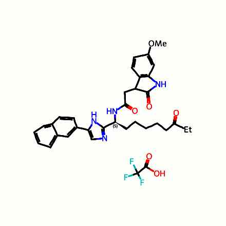 CCC(=O)CCCCC[C@H](NC(=O)CC1C(=O)Nc2cc(OC)ccc21)c1ncc(-c2ccc3ccccc3c2)[nH]1.O=C(O)C(F)(F)F